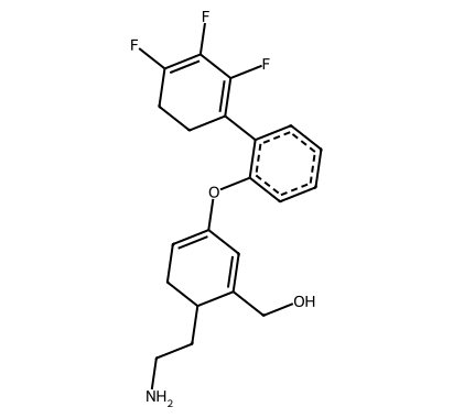 NCCC1CC=C(Oc2ccccc2C2=C(F)C(F)=C(F)CC2)C=C1CO